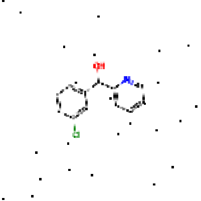 OC(c1cccc(Cl)c1)c1ccccn1